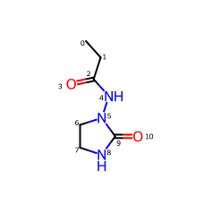 CCC(=O)NN1CCNC1=O